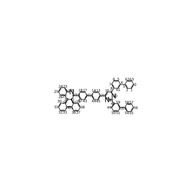 c1ccc(-c2cccc(-c3cc(-c4ccc(-c5ccc(-c6nc7ccccc7c7c8ccccc8c8ccccc8c67)cc5)cc4)nc(-c4cccc(-c5ccccc5)c4)n3)c2)cc1